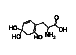 NC(CC1=C(O)CC(O)(O)C=C1)C(=O)O